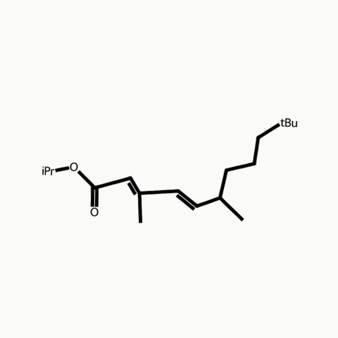 CC(/C=C/C(C)CCCC(C)(C)C)=C\C(=O)OC(C)C